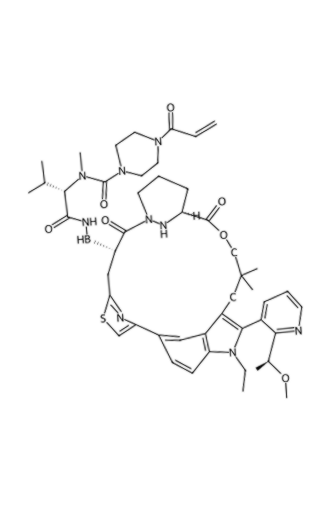 C=CC(=O)N1CCN(C(=O)N(C)[C@H](C(=O)NB[C@H]2Cc3nc(cs3)-c3ccc4c(c3)c(c(-c3cccnc3[C@H](C)OC)n4CC)CC(C)(C)COC(=O)[C@@H]3CCCN(N3)C2=O)C(C)C)CC1